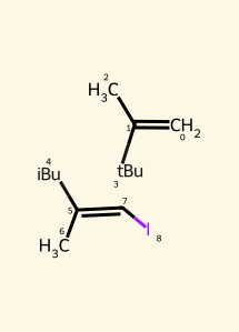 C=C(C)C(C)(C)C.CCC(C)C(C)=CI